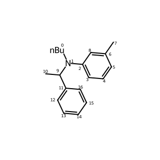 CCCCN(c1cccc(C)c1)C(C)c1ccccc1